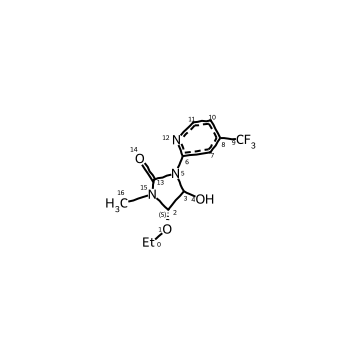 CCO[C@H]1C(O)N(c2cc(C(F)(F)F)ccn2)C(=O)N1C